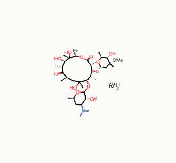 CC[C@H]1OC(=O)[C@H](C)[C@@H](O[C@H]2C[C@@](C)(OC)[C@@H](O)[C@H](C)O2)[C@H](C)[C@@H](O[C@@H]2O[C@H](C)C[C@H](N(C)C)[C@H]2O)[C@](C)(O)C[C@@H](C)C(=O)[C@H](C)[C@@H](O)[C@]1(C)O.[PbH2]